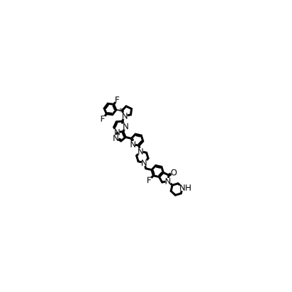 O=C1c2ccc(CN3CCN(c4cccc(-c5cnn6ccc(N7CCC[C@@H]7c7cc(F)ccc7F)nc56)n4)CC3)c(F)c2CN1C1CCCNC1